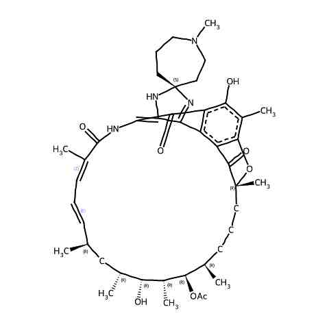 CC(=O)O[C@H]1[C@H](C)[C@H](O)[C@H](C)C[C@@H](C)/C=C/C=C(/C)C(=O)NC2=C3N[C@@]4(CCCN(C)CC4)N=C3c3c(c(O)c(C)c4c3C(=O)[C@@](C)(CCC[C@H]1C)O4)C2=O